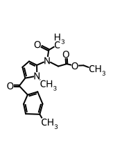 CCOC(=O)CN(C(C)=O)c1ccc(C(=O)c2ccc(C)cc2)n1C